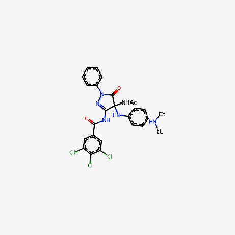 CC(=O)NC1(Nc2ccccc2)C(=O)N(c2ccccc2)N=C1NC(=O)c1cc(Cl)c(Cl)c(Cl)c1.CCNCC